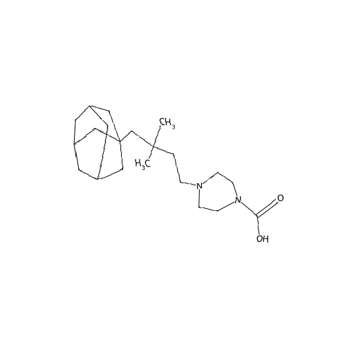 CC(C)(CCN1CCN(C(=O)O)CC1)CC12CC3CC(CC(C3)C1)C2